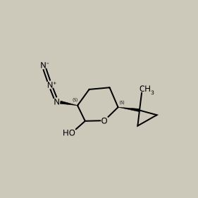 CC1([C@@H]2CC[C@H](N=[N+]=[N-])C(O)O2)CC1